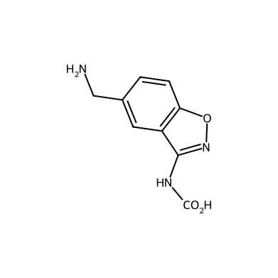 NCc1ccc2onc(NC(=O)O)c2c1